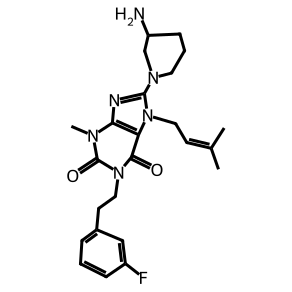 CC(C)=CCn1c(N2CCCC(N)C2)nc2c1c(=O)n(CCc1cccc(F)c1)c(=O)n2C